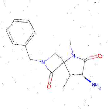 CC1[C@H](N)C(=O)N(C)C12CN(Cc1ccccc1)C2=O